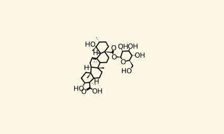 C[C@@H]1CC[C@]2(C(=O)O[C@@H]3O[C@H](CO)[C@@H](O)[C@H](O)[C@H]3O)CC[C@]3(C)C(=CC[C@@H]4[C@@]5(C)CC[C@H](O)[C@](C)(C(=O)O)[C@@H]5CC[C@]43C)[C@@H]2[C@]1(C)O